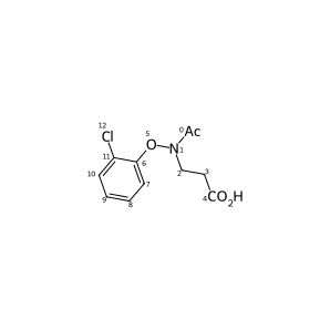 CC(=O)N(CCC(=O)O)Oc1ccccc1Cl